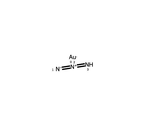 [Au].[N-]=[N+]=N